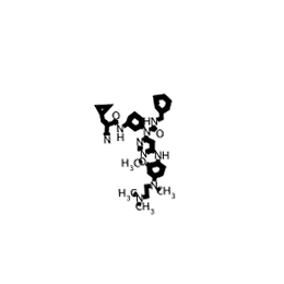 COc1cc(N(C)CCN(C)C)ccc1Nc1cc(N(C(=O)NCc2ccccc2)c2cccc(NC(=O)/C(C#N)=C\C3CC3)c2)ncn1